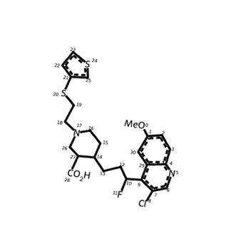 COc1ccc2ncc(Cl)c(C(F)CCC3CCN(CCSc4ccsc4)CC3C(=O)O)c2c1